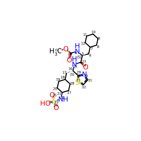 COC(=O)N[C@@H](CC1CCCCC1)C(=O)N[C@@H](CC1CCC(NS(=O)(=O)O)CC1)c1nccs1